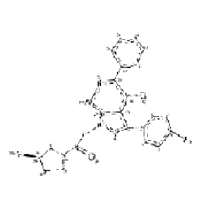 O=C(Cn1nc(-c2ccc(F)cc2)c2c(Cl)c(-c3ccccc3)nnc21)N1CC[C@@H](F)C1